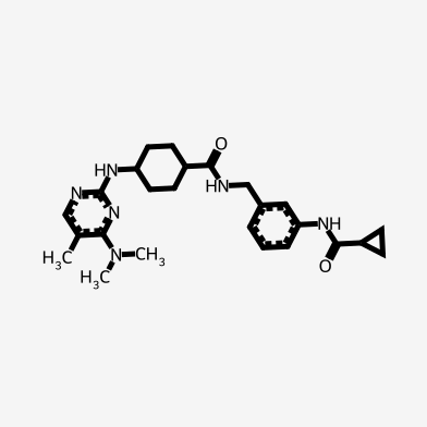 Cc1cnc(NC2CCC(C(=O)NCc3cccc(NC(=O)C4CC4)c3)CC2)nc1N(C)C